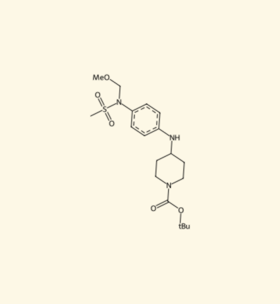 COCN(c1ccc(NC2CCN(C(=O)OC(C)(C)C)CC2)cc1)S(C)(=O)=O